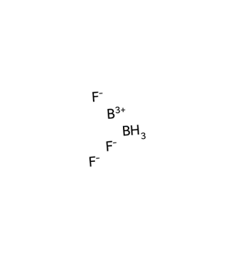 B.[B+3].[F-].[F-].[F-]